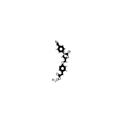 COC(=O)Cc1ccc(OCC2CN(c3ccc(C#N)cc3)C(=O)O2)cc1